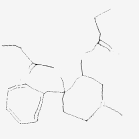 CCC(=O)OC1CN(C)CCC1(OC(=O)CC)c1ccccc1